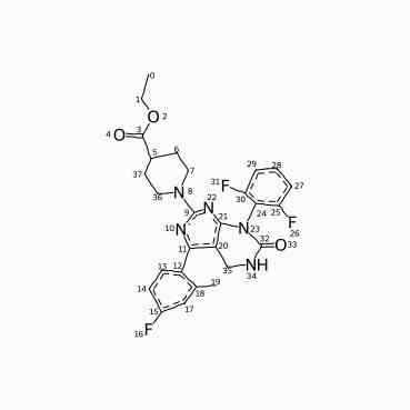 CCOC(=O)C1CCN(c2nc(-c3ccc(F)cc3C)c3c(n2)N(c2c(F)cccc2F)C(=O)NC3)CC1